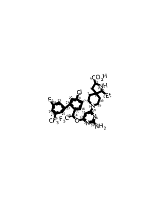 CCC1NC(C(=O)O)CC12CCN(c1cc(O[C@H](c3ccc(Cl)cc3-c3cc(F)cc(C(F)(F)F)c3)C(F)(F)F)nc(N)n1)CC2